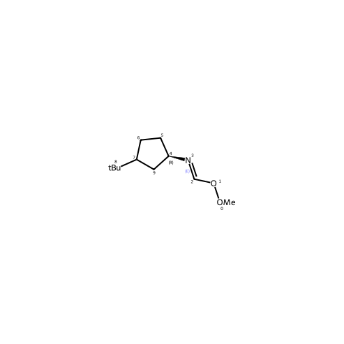 COO/C=N/[C@@H]1CCC(C(C)(C)C)C1